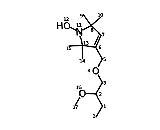 CCC(COCC1=CC(C)(C)N(O)C1(C)C)OC